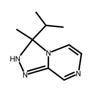 CC(C)C1(C)NN=C2C=NC=CN21